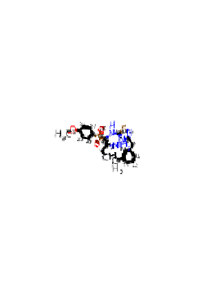 CCC(N)C(Nc1nc(Cc2cccc(C)c2)ns1)S(=O)(=O)c1ccc(OC)cc1